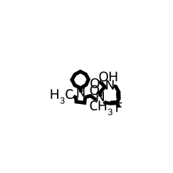 CC(CC1CCC(C)N1C1CCCCCCC1)N1C/C=C(F)\C=C/C/N=C(/C(=O)O)C1=O